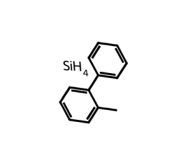 Cc1ccccc1-c1ccccc1.[SiH4]